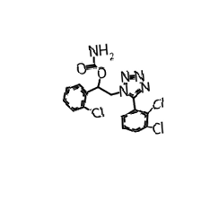 NC(=O)OC(Cn1nnnc1-c1cccc(Cl)c1Cl)c1ccccc1Cl